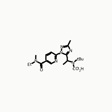 CCN(C)C(=O)c1ccc(-n2nc(C)nc2C(C)N(C(=O)O)C(C)(C)C)nc1